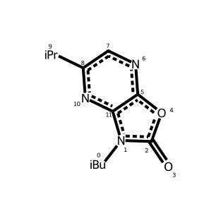 CCC(C)n1c(=O)oc2ncc(C(C)C)nc21